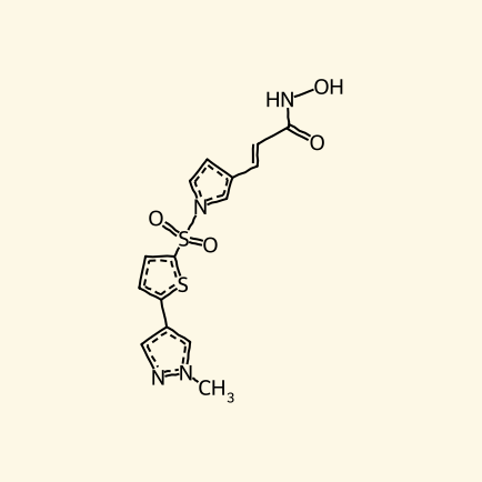 Cn1cc(-c2ccc(S(=O)(=O)n3ccc(/C=C/C(=O)NO)c3)s2)cn1